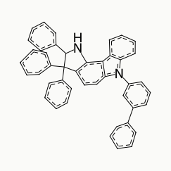 c1ccc(-c2cccc(-n3c4ccccc4c4c5c(ccc43)C(c3ccccc3)(c3ccccc3)C(c3ccccc3)N5)c2)cc1